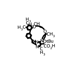 Cc1cc2c(cc1C)-c1cccc(c1)-c1cc3nc(C)c([C@H](OC(C)(C)C)C(=O)O)c(n3n1)N1CCC(C)(CC1)OCC=C[C@H](C)O2